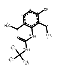 CCc1ccc(Cl)c(CC)c1NC(=S)NC(C)(C)C